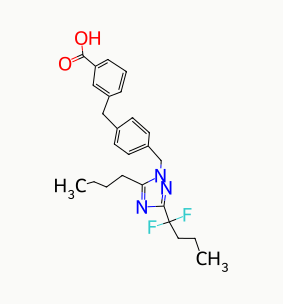 CCCCc1nc(C(F)(F)CCC)nn1Cc1ccc(Cc2cccc(C(=O)O)c2)cc1